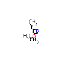 CC/C=C/c1cncc(OC(C)C)c1